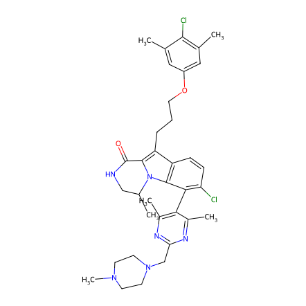 Cc1cc(OCCCc2c3n(c4c(-c5c(C)nc(CN6CCN(C)CC6)nc5C)c(Cl)ccc24)C(C)CNC3=O)cc(C)c1Cl